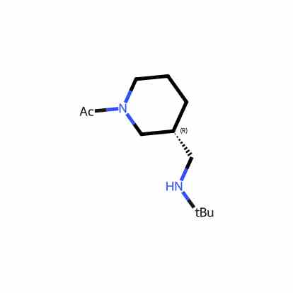 CC(=O)N1CCC[C@H](CNC(C)(C)C)C1